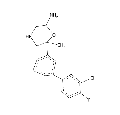 CC1(c2cccc(-c3ccc(F)c(Cl)c3)c2)CNCC(N)O1